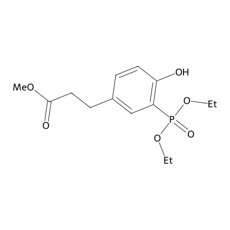 CCOP(=O)(OCC)c1cc(CCC(=O)OC)ccc1O